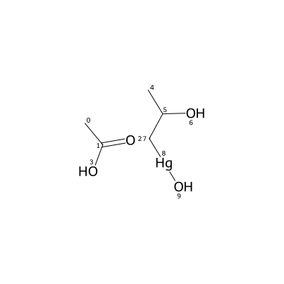 CC(=O)O.CC(O)[CH2][Hg][OH]